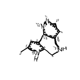 Cc1cc2c([nH]1)CNc1ccnnc1-2